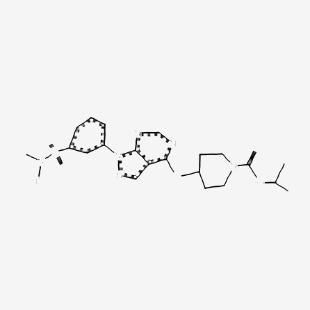 CC(C)OC(=O)N1CCC(Oc2ncnc3c2cnn3-c2cccc(S(=O)(=O)N(F)F)c2)CC1